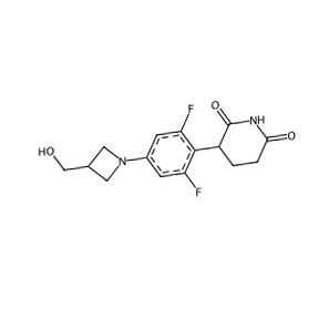 O=C1CCC(c2c(F)cc(N3CC(CO)C3)cc2F)C(=O)N1